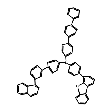 c1ccc(-c2ccc(-c3ccc(N(c4ccc(-c5cccc(-c6cccc7ccccc67)c5)cc4)c4ccc(-c5cccc6c5oc5ccccc56)cc4)cc3)cc2)cc1